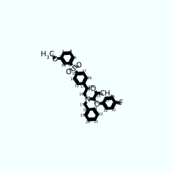 COc1cccc(S(=O)(=O)c2ccc(CCN(Cc3ccccc3)C(Oc3ccc(F)cc3)C(C)O)cc2)c1